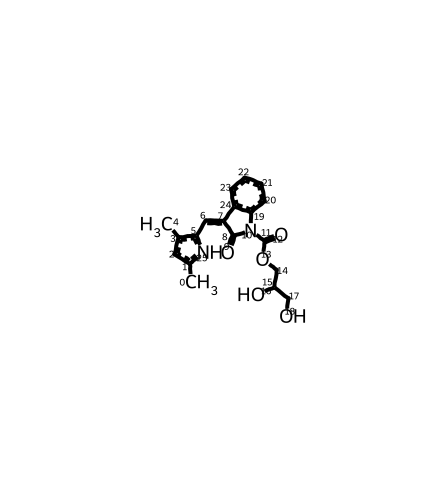 Cc1cc(C)c(/C=C2\C(=O)N(C(=O)OCC(O)CO)c3ccccc32)[nH]1